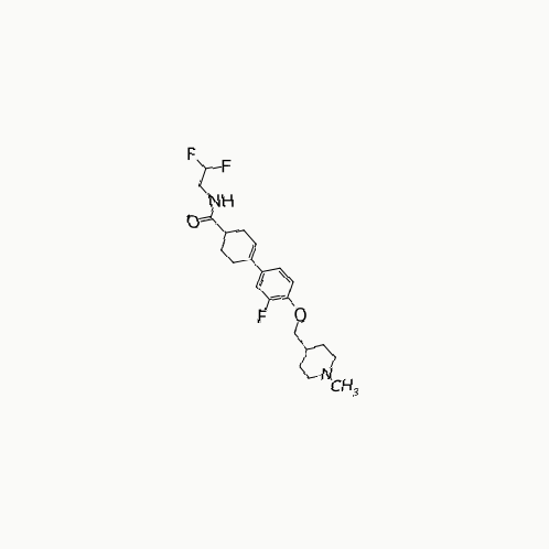 CN1CCC(COc2ccc(C3=CCC(C(=O)NCC(F)F)CC3)cc2F)CC1